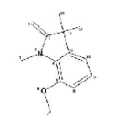 C=C1N(C)c2c(OC)cccc2C1(C)C